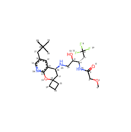 COCC(=O)N[C@@H](CC(F)(F)F)[C@H](O)CN[C@H]1CC2(CCC2)Oc2ncc(CC(C)(C)C)cc21